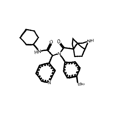 CC(C)(C)c1ccc(N(C(=O)C23CCC4NC42C3)C(C(=O)NC2CCCCC2)c2cccnc2)cc1